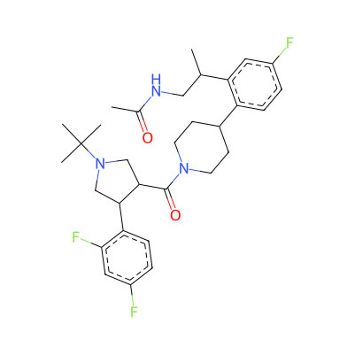 CC(=O)NCC(C)c1cc(F)ccc1C1CCN(C(=O)C2CN(C(C)(C)C)CC2c2ccc(F)cc2F)CC1